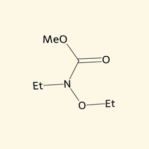 CCON(CC)C(=O)OC